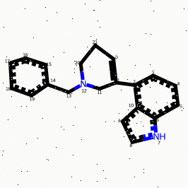 C1=C(c2cccc3[nH]ccc23)CN(Cc2ccccc2)CC1